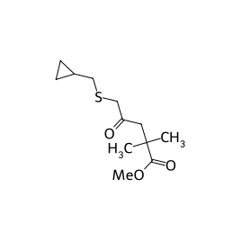 COC(=O)C(C)(C)CC(=O)CSCC1CC1